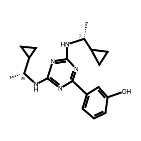 C[C@@H](Nc1nc(N[C@H](C)C2CC2)nc(-c2cccc(O)c2)n1)C1CC1